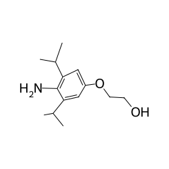 CC(C)c1cc(OCCO)cc(C(C)C)c1N